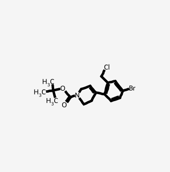 CC(C)(C)OC(=O)N1CC=C(c2ccc(Br)cc2CCl)CC1